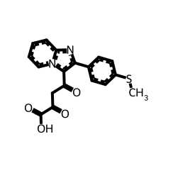 CSc1ccc(-c2nc3ccccn3c2C(=O)CC(=O)C(=O)O)cc1